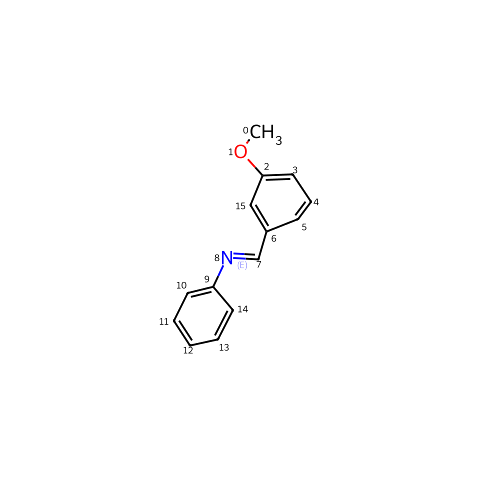 COc1cccc(/C=N/c2ccccc2)c1